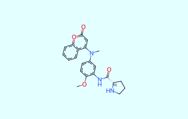 COc1ccc(N(C)c2cc(=O)oc3ccccc23)cc1NC(=O)[C@@H]1CCCN1